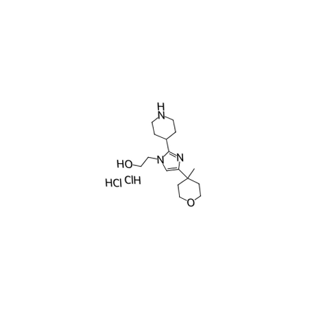 CC1(c2cn(CCO)c(C3CCNCC3)n2)CCOCC1.Cl.Cl